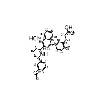 CCC(N[C@H](C)c1cccc(OC)c1)c1cc(-c2ccc(F)c(CCC(=O)O)c2)c2ccccc2c1.Cl